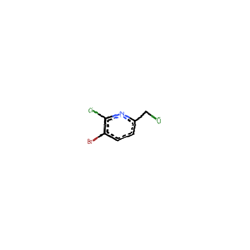 ClCc1ccc(Br)c(Cl)n1